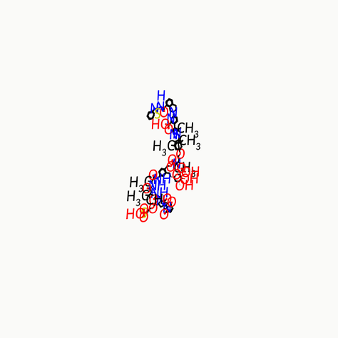 Cc1c(-c2ccc(N3CCc4cccc(C(=O)Nc5nc6ccccc6s5)c4C3)nc2C(=O)O)cnn1CC12CC3(C)CC(OCCN(C)C(=O)OCc4ccc(NC(=O)[C@H](C)NC(=O)[C@@H](NC(=O)CN5C(=O)[C@@H](N6C(=O)C=CC6=O)C[C@H]5COCCS(=O)(=O)O)C(C)C)cc4CC[C@H]4C[C@@H](O)[C@H](O)[C@@H](C(=O)O)O4)(CC1(C)C3)C2